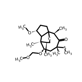 COCO[C@@H]1C[C@@](C)(SC)C(=O)[C@H](C)C23CC[C@@H](C)[C@]1(C)C2[C@H](OC)CC3